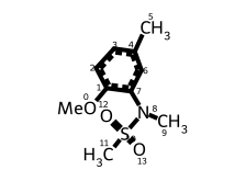 COc1ccc(C)cc1N(C)S(C)(=O)=O